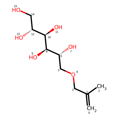 C=C(C)COC[C@@H](O)[C@@H](O)[C@H](O)[C@H](O)CO